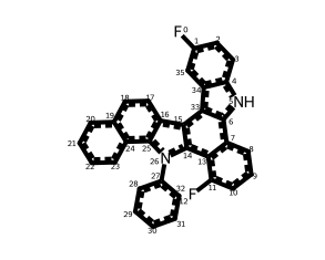 Fc1ccc2[nH]c3c4cccc(F)c4c4c(c5ccc6ccccc6c5n4-c4ccccc4)c3c2c1